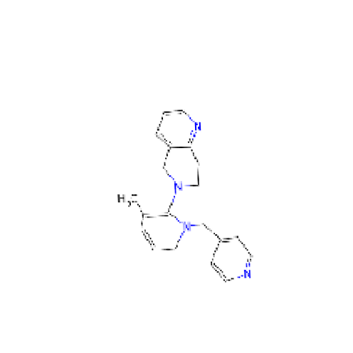 CC1=C(N2CCc3ncccc3C2)N(Cc2ccncc2)CC=C1